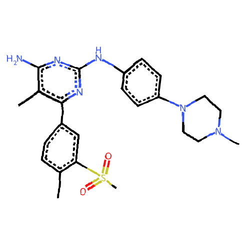 Cc1ccc(-c2nc(Nc3ccc(N4CCN(C)CC4)cc3)nc(N)c2C)cc1S(C)(=O)=O